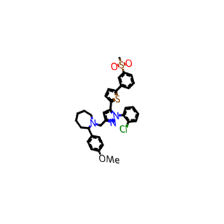 COc1ccc(C2CCCCCN2Cc2cc(-c3ccc(-c4cccc(S(C)(=O)=O)c4)s3)n(-c3ccccc3Cl)n2)cc1